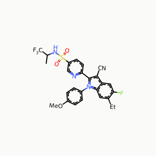 CCc1cc2c(cc1F)c(C#N)c(-c1ccc(S(=O)(=O)NC(C)C(F)(F)F)cn1)n2-c1ccc(OC)cc1